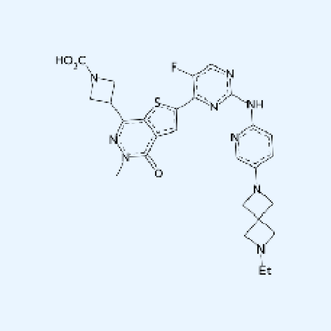 CCN1CC2(C1)CN(c1ccc(Nc3ncc(F)c(-c4cc5c(=O)n(C)nc(C6CN(C(=O)O)C6)c5s4)n3)nc1)C2